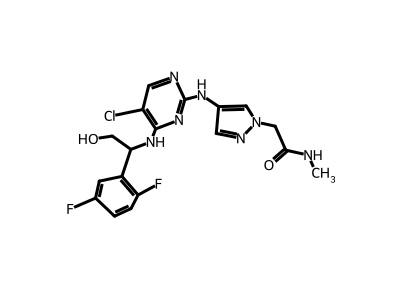 CNC(=O)Cn1cc(Nc2ncc(Cl)c(NC(CO)c3cc(F)ccc3F)n2)cn1